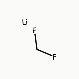 FCF.[Li]